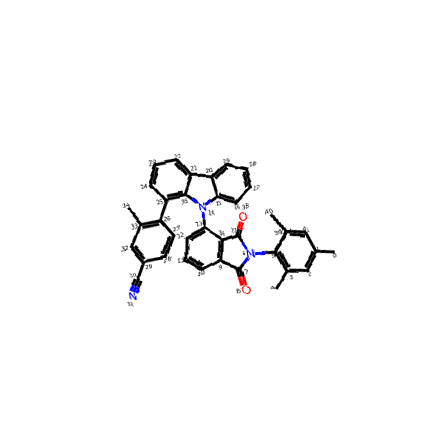 Cc1cc(C)c(N2C(=O)c3cccc(-n4c5ccccc5c5cccc(-c6ccc(C#N)cc6C)c54)c3C2=O)c(C)c1